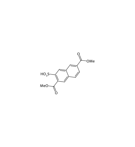 COC(=O)c1ccc2cc(C(=O)OC)c(S(=O)(=O)O)cc2c1